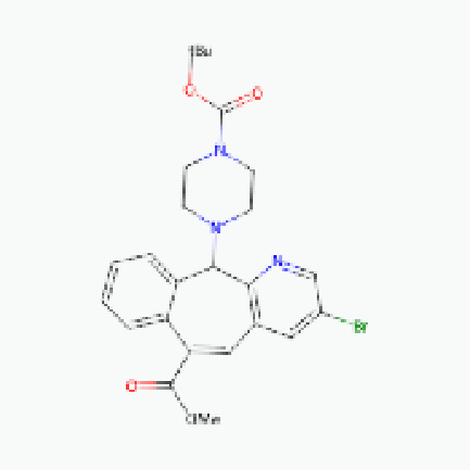 COC(=O)C1=Cc2cc(Br)cnc2C(N2CCN(C(=O)OC(C)(C)C)CC2)c2ccccc21